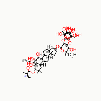 C/C=C(/C)C(=O)O[C@H]1[C@H](OC(=O)C(C)C)[C@]2(CO)[C@H](O)[C@H](O)[C@]3(C)C(=CC[C@@H]4[C@@]5(C)CC[C@H](O[C@@H]6O[C@H](C(=O)O)[C@@H](O)[C@H](O[C@@H]7O[C@@H](CO)[C@H](O)[C@H]7O)[C@H]6O[C@@H]6O[C@H](CO)[C@H](O)[C@H](O)[C@H]6O)[C@@H](C)[C@@H]5CC[C@]43C)[C@@H]2CC1(C)C